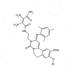 CCOc1cc2c(cc1OC)-c1c/c(=N\c3c(C)cc(C)cc3C)n(CCNC(=O)/C(N)=C(/N)C(N)=O)c(=O)n1CC2